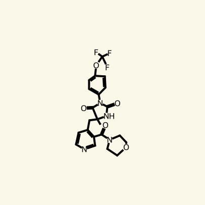 CC1(Cc2ccncc2C(=O)N2CCOCC2)NC(=O)N(c2ccc(OC(F)(F)F)cc2)C1=O